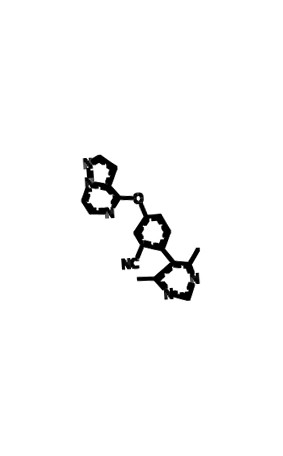 Cc1ncnc(C)c1-c1ccc(Oc2nccn3nccc23)cc1C#N